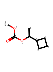 C[CH]OC(=O)OC(C)C1CCC1